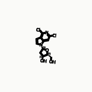 OC[C@H]1O[C@@H](n2ccc3c(Cl)nc(Cl)cc32)C[C@@H]1O